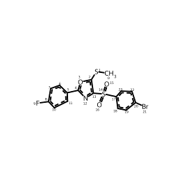 CSc1oc(-c2ccc(F)cc2)nc1S(=O)(=O)c1ccc(Br)cc1